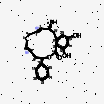 B=C1/C=C/CC/C=C/CC(c2ccccc2)OC(=O)c2c(O)cc(O)cc2C1